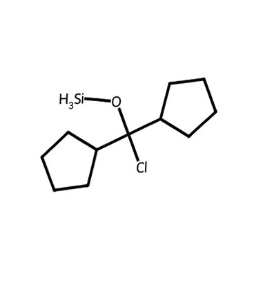 [SiH3]OC(Cl)(C1CCCC1)C1CCCC1